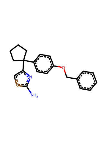 Nc1nc(C2(c3ccc(OCc4ccccc4)cc3)CCCC2)cs1